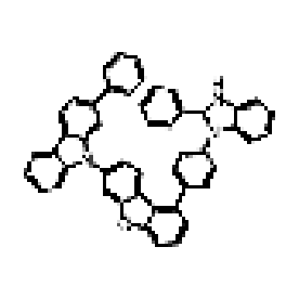 c1ccc(-c2ccc3c4ccccc4n(-c4ccc5c(c4)oc4cccc(-c6ccc(N7c8ccccc8NC7c7ccccc7)cc6)c45)c3c2)cc1